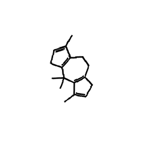 CC1=CCC2=C1CCC1=C(C(C)=CC1)C2(C)C